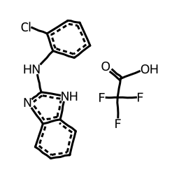 Clc1ccccc1Nc1nc2ccccc2[nH]1.O=C(O)C(F)(F)F